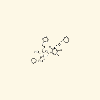 Cc1cn([C@H]2C[C@](CO)(OCc3ccccc3)[C@@](CO)(COCc3ccccc3)O2)c(=O)n(COCc2ccccc2)c1=O